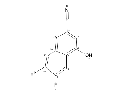 N#Cc1cc(O)c2cc(F)c(F)cc2c1